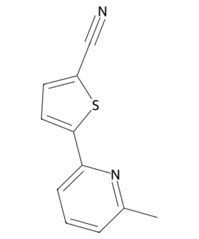 Cc1cccc(-c2ccc(C#N)s2)n1